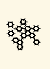 c1ccc(-c2ccc3c(c2)c2cc(-c4cc5ccccc5c5ccccc45)ccc2c2c(-c4ccc(N(c5ccccc5)c5ccccc5)cc4)c(-c4ccccc4)cc(-c4ccccc4)c32)cc1